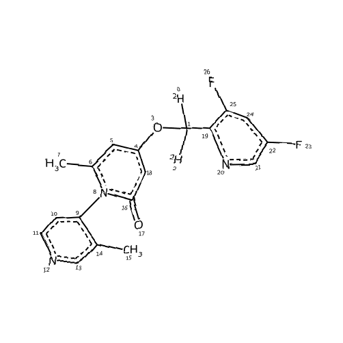 [2H]C([2H])(Oc1cc(C)n(-c2ccncc2C)c(=O)c1)c1ncc(F)cc1F